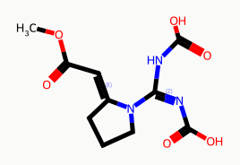 COC(=O)/C=C1\CCCN1/C(=N\C(=O)O)NC(=O)O